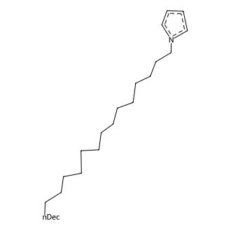 CCCCCCCCCCCCCCCCCCCCCCCCn1cccc1